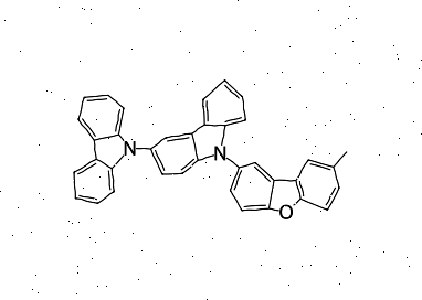 Cc1ccc2oc3ccc(-n4c5ccccc5c5cc(-n6c7ccccc7c7ccccc76)ccc54)cc3c2c1